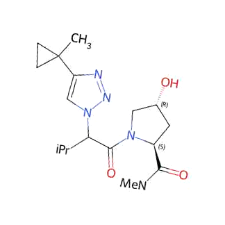 CNC(=O)[C@@H]1C[C@@H](O)CN1C(=O)C(C(C)C)n1cc(C2(C)CC2)nn1